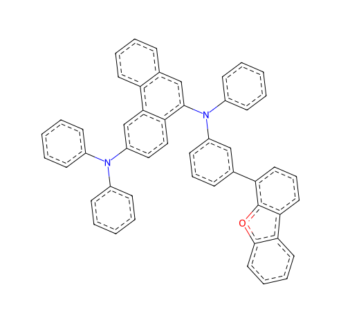 c1ccc(N(c2ccccc2)c2ccc3c(N(c4ccccc4)c4cccc(-c5cccc6c5oc5ccccc56)c4)cc4ccccc4c3c2)cc1